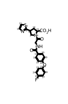 O=C(NCC(=O)N1CC(c2nccs2)CC1C(=O)O)c1ccc(Oc2ccc(F)cc2)cc1